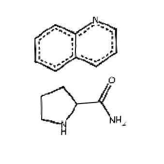 NC(=O)C1CCCN1.c1ccc2ncccc2c1